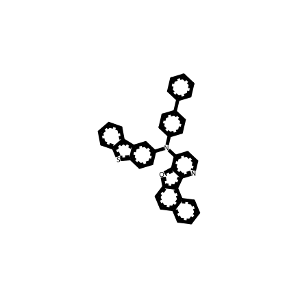 c1ccc(-c2ccc(N(c3ccc4sc5ccccc5c4c3)c3ccnc4c3oc3ccc5ccccc5c34)cc2)cc1